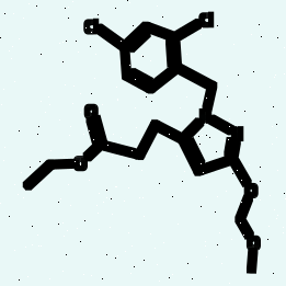 CCOC(=O)CCc1cc(OCOC)nn1Cc1ccc(Cl)cc1Cl